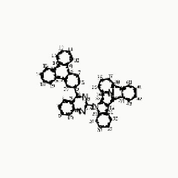 c1ccc2c(-c3ccc4c5ccccc5c5ccccc5c4c3)nc(-n3c4ccccc4c4c3c3cccc5c6ccccc6c4n53)nc2c1